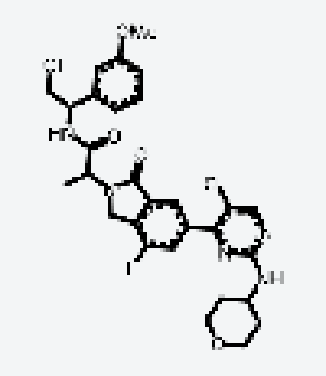 COc1cccc(C(CO)NC(=O)C(C)N2Cc3c(F)cc(-c4nc(NC5CCOCC5)ncc4Cl)cc3C2=O)c1